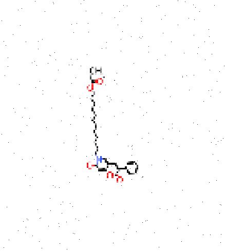 CCC(=O)OCCCCCCCCCCCCn1cc2cc(-c3ccccc3)c(=O)oc2cc1=O